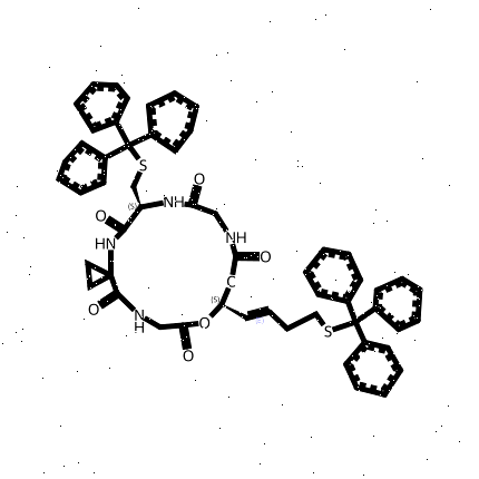 O=C1C[C@@H](/C=C/CCSC(c2ccccc2)(c2ccccc2)c2ccccc2)OC(=O)CNC(=O)C2(CC2)NC(=O)[C@@H](CSC(c2ccccc2)(c2ccccc2)c2ccccc2)NC(=O)CN1